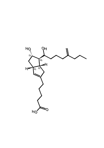 C=C(CCC)CCCC(O)[C@H]1[C@@H]2CC(CCCCC(=O)O)=C[C@@H]2C[C@@H]1O